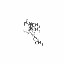 Cc1ccc(N2CCC(C(C)(C)S(=O)(=O)c3cc(C(F)F)nn3C)CC2)cn1